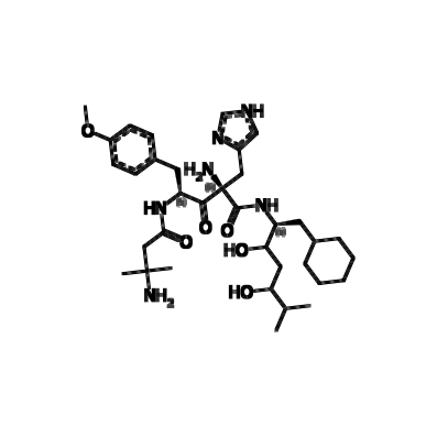 COc1ccc(C[C@H](NC(=O)CC(C)(C)N)C(=O)[C@](N)(Cc2c[nH]cn2)C(=O)N[C@@H](CC2CCCCC2)C(O)CC(O)C(C)C)cc1